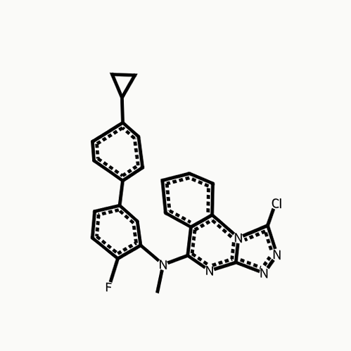 CN(c1cc(-c2ccc(C3CC3)cc2)ccc1F)c1nc2nnc(Cl)n2c2ccccc12